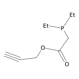 C#CCOC(=O)CP(CC)CC